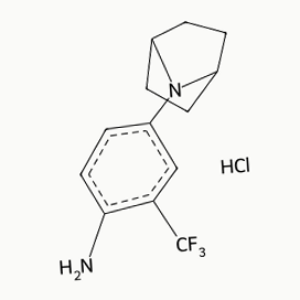 Cl.Nc1ccc(N2C3CCC2CC3)cc1C(F)(F)F